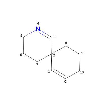 C1=CC2(C=NCCC2)CCC1